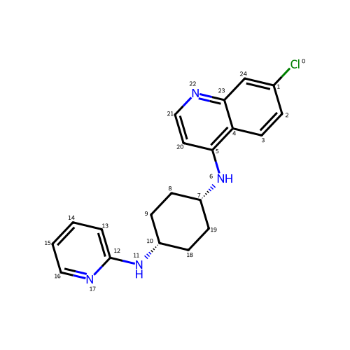 Clc1ccc2c(N[C@H]3CC[C@@H](Nc4ccccn4)CC3)ccnc2c1